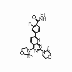 CCNC(=O)c1ccc(-c2ccc3c(N4CCOC[C@@H]4C)nc(N4CCOC[C@@H]4C)nc3n2)cc1F